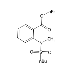 CCCCS(=O)(=O)N(C)c1ccccc1C(=O)OCCC